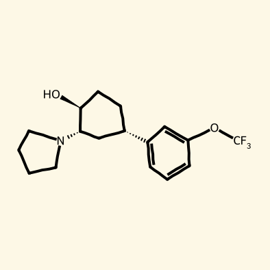 O[C@H]1CC[C@H](c2cccc(OC(F)(F)F)c2)C[C@@H]1N1CCCC1